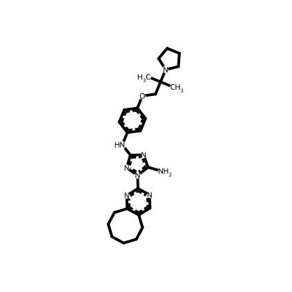 CC(C)(COc1ccc(Nc2nc(N)n(-c3ncc4c(n3)CCCCCC4)n2)cc1)N1CCCC1